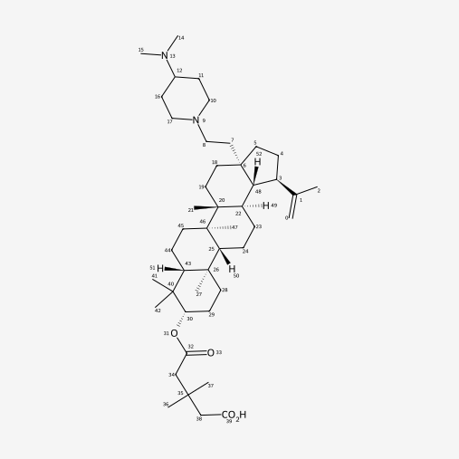 C=C(C)[C@@H]1CC[C@]2(CCN3CCC(N(C)C)CC3)CC[C@]3(C)[C@H](CC[C@@H]4[C@@]5(C)CC[C@H](OC(=O)CC(C)(C)CC(=O)O)C(C)(C)[C@@H]5CC[C@]43C)[C@@H]12